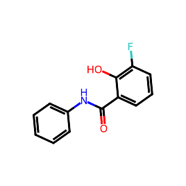 O=C(Nc1ccccc1)c1cccc(F)c1O